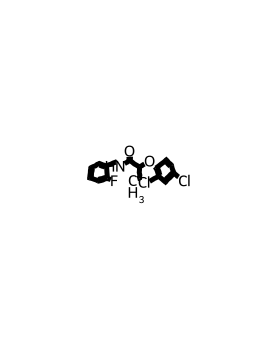 CCC(Oc1ccc(Cl)cc1Cl)C(=O)NCc1ccccc1F